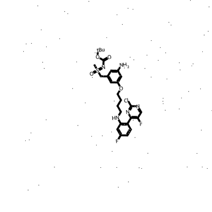 CC(C)(C)OC(=O)N=S(C)(=O)Cc1cc(N)cc(OCCCCNc2cc(F)ccc2-c2nc(Cl)ncc2F)c1